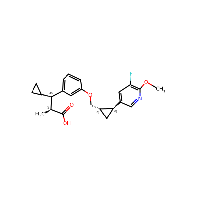 COc1ncc([C@H]2C[C@@H]2COc2cccc([C@H](C3CC3)[C@H](C)C(=O)O)c2)cc1F